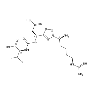 CC(O)[C@H](NC(=O)N[C@@H](CC(N)=O)c1nc([C@@H](N)CCCCNC(=N)N)no1)C(=O)O